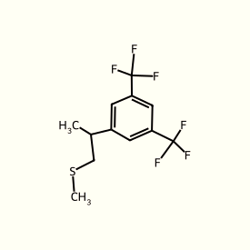 CSCC(C)c1cc(C(F)(F)F)cc(C(F)(F)F)c1